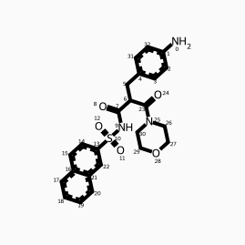 Nc1ccc(CC(C(=O)NS(=O)(=O)c2ccc3ccccc3c2)C(=O)N2CCOCC2)cc1